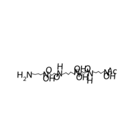 CC(=O)N(O)CCCCCNC(=O)CC[C@@H](O)N(O)CCCCCNC(=O)CCC(=O)N(O)CCCCCN